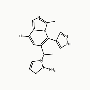 Cc1ncc2c(Cl)cc(C(C)N3C=CCN3N)c(-c3cn[nH]c3)n12